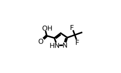 CC(F)(F)c1cc(C(=O)O)[nH]n1